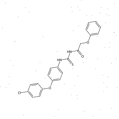 O=C(COc1ccccc1)NC(=S)Nc1ccc(Oc2ccc(Cl)cc2)cc1